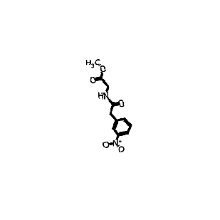 COC(=O)CNC(=O)Cc1cccc([N+](=O)[O-])c1